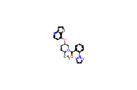 CC1CCC(Oc2ccnc3ccsc23)CN1C(=O)c1ccccc1-n1nccn1